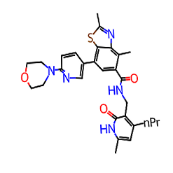 CCCc1cc(C)[nH]c(=O)c1CNC(=O)c1cc(-c2ccc(N3CCOCC3)nc2)c2sc(C)nc2c1C